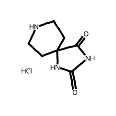 Cl.O=C1NC(=O)C2(CCNCC2)N1